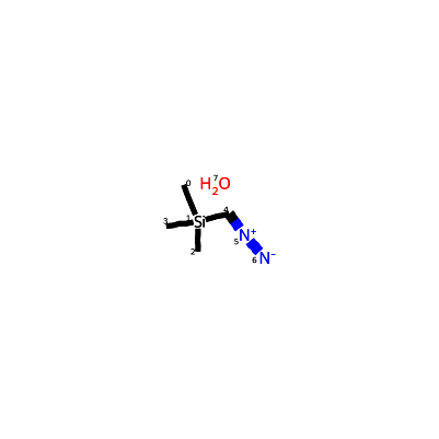 C[Si](C)(C)C=[N+]=[N-].O